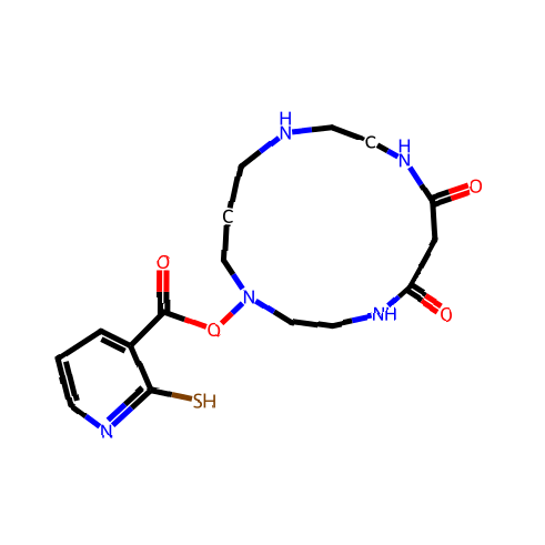 O=C1CC(=O)NCCN(OC(=O)c2cccnc2S)CCCNCCN1